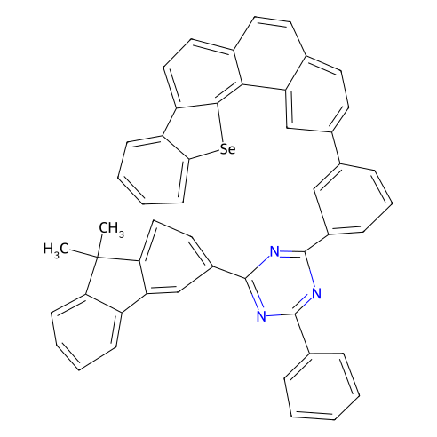 CC1(C)c2ccccc2-c2cc(-c3nc(-c4ccccc4)nc(-c4cccc(-c5ccc6ccc7ccc8c9ccccc9[se]c8c7c6c5)c4)n3)ccc21